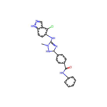 CN1NC(c2ccc(C(=O)Nc3ccccc3)cc2)N=C1Nc1ccc2[nH]ncc2c1Cl